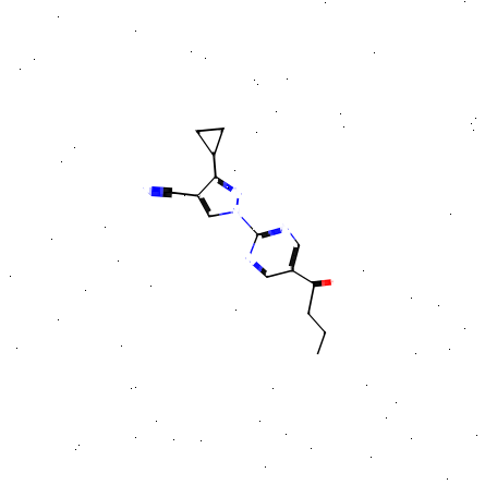 CCCC(=O)c1cnc(-n2cc(C#N)c(C3CC3)n2)nc1